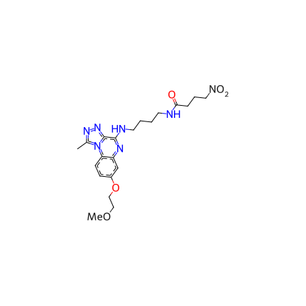 COCCOc1ccc2c(c1)nc(NCCCCNC(=O)CCC[N+](=O)[O-])c1nnc(C)n12